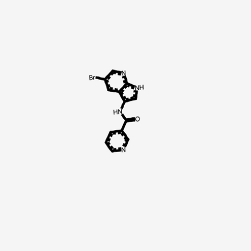 O=C(Nc1c[nH]c2ncc(Br)cc12)c1cccnc1